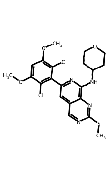 COc1cc(OC)c(Cl)c(-c2cc3cnc(SC)nc3c(NC3CCOCC3)n2)c1Cl